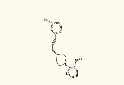 O=Nc1cccnc1N1CCC(=CC#Cc2cccc(Br)c2)CC1